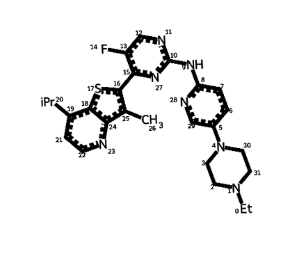 CCN1CCN(c2ccc(Nc3ncc(F)c(-c4sc5c(C(C)C)ccnc5c4C)n3)nc2)CC1